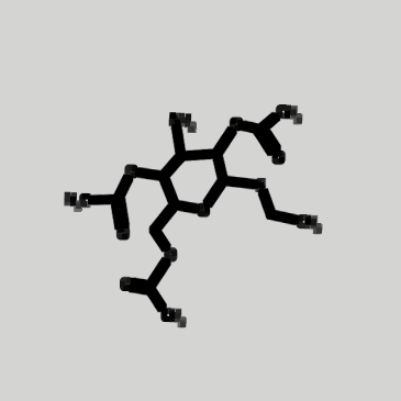 CCSC1OC(COC(C)=O)C(OC(C)=O)C(N)C1OC(C)=O